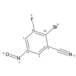 N#Cc1cc(N=O)cc(F)c1Br